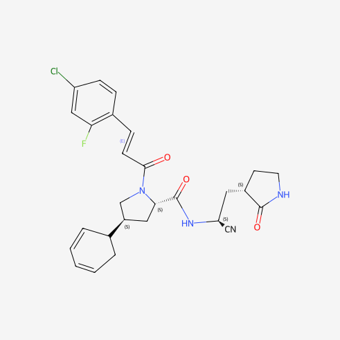 N#C[C@H](C[C@@H]1CCNC1=O)NC(=O)[C@@H]1C[C@@H](C2C=CC=CC2)CN1C(=O)/C=C/c1ccc(Cl)cc1F